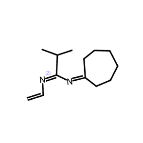 C=C/N=C(\N=C1CCCCCC1)C(C)C